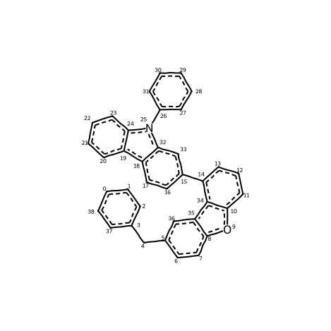 c1ccc(Cc2ccc3oc4cccc(-c5ccc6c7ccccc7n(-c7ccccc7)c6c5)c4c3c2)cc1